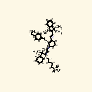 CCCC[N+]1=C(/C=C/C2=C(OCc3ccc(CN)cc3)C(=C/C=C3/N(CCCCS(=O)(=O)[O-])c4ccccc4C3(C)C)/CCC2)C(C)(C)c2ccccc21